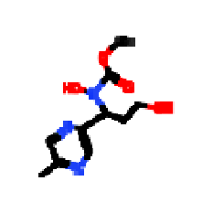 Cc1cnc([C@H](CCO)N(O)C(=O)OC(C)(C)C)cn1